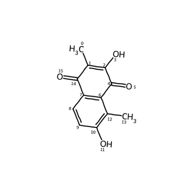 CC1=C(O)C(=O)c2c(ccc(O)c2C)C1=O